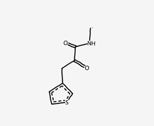 [CH2]NC(=O)C(=O)Cc1ccsc1